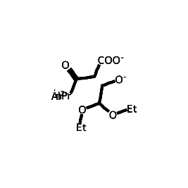 CCCC(=O)CC(=O)[O-].CCOC(C[O-])OCC.[Al+2]